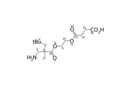 CC(C)(C)CC(C)(CN)C(=O)OCCOC(=O)CCC(=O)O